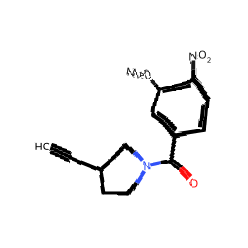 C#CC1CCN(C(=O)c2ccc([N+](=O)[O-])c(OC)c2)C1